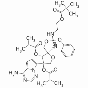 CC(C)C(=O)O[C@@H]1[C@@](C#N)(COP(=O)(NCCOC(=O)C(C)(C)C)Oc2ccccc2)OC[C@]1(OC(=O)C(C)C)c1ccc2c(N)ncnn12